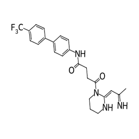 CC(=N)/C=C1\NCCCN1C(=O)CCC(=O)Nc1ccc(-c2ccc(C(F)(F)F)cc2)cc1